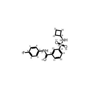 O=C(Nc1ccc(F)cc1)c1cccc(S(=O)(=O)NC2CCC2)c1